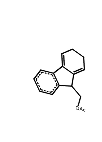 CC(=O)OCC1C2=CCCC=C2c2ccccc21